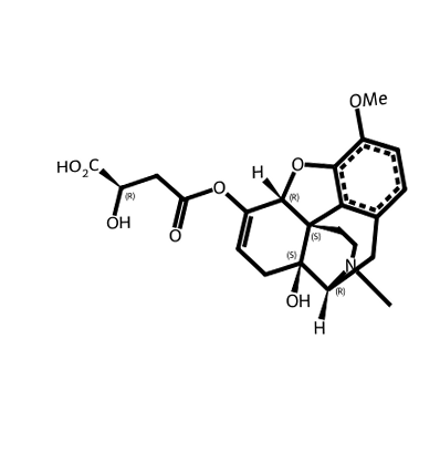 COc1ccc2c3c1O[C@H]1C(OC(=O)C[C@@H](O)C(=O)O)=CC[C@@]4(O)[C@@H](C2)N(C)CC[C@]314